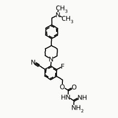 CN(C)Cc1ccc(C2CCN(c3c(C#N)ccc(COC(=O)NC(=N)N)c3F)CC2)cc1